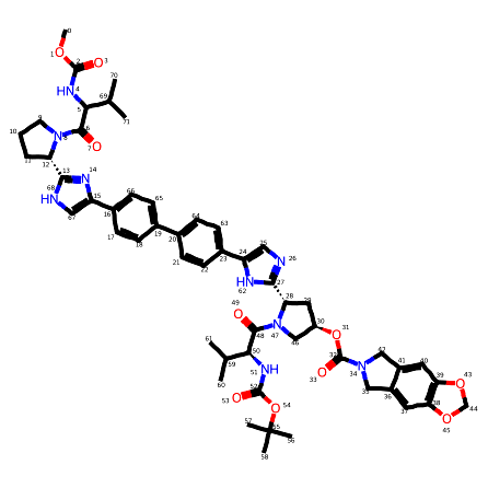 COC(=O)NC(C(=O)N1CCC[C@H]1c1nc(-c2ccc(-c3ccc(-c4cnc([C@@H]5C[C@@H](OC(=O)N6Cc7cc8c(cc7C6)OCO8)CN5C(=O)[C@@H](NC(=O)OC(C)(C)C)C(C)C)[nH]4)cc3)cc2)c[nH]1)C(C)C